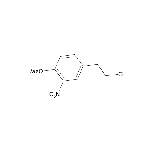 COc1ccc(CCCl)cc1[N+](=O)[O-]